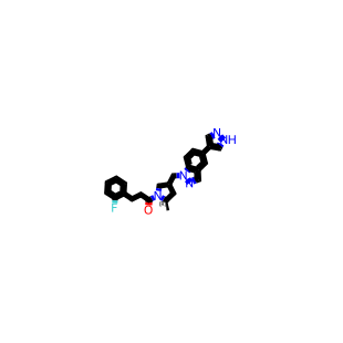 C[C@@H]1CC(Cn2ncc3cc(-c4cn[nH]c4)ccc32)CN1C(=O)CCc1ccccc1F